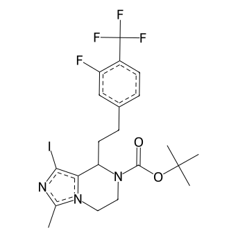 Cc1nc(I)c2n1CCN(C(=O)OC(C)(C)C)C2CCc1ccc(C(F)(F)F)c(F)c1